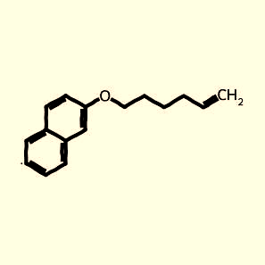 C=CCCCCOc1ccc2c[c]ccc2c1